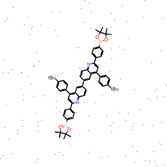 CC(C)(C)c1ccc(-c2cc(-c3ccc(B4OC(C)(C)C(C)(C)O4)cc3)nc3ccc(-c4ccc5nc(-c6ccc(B7OC(C)(C)C(C)(C)O7)cc6)cc(-c6ccc(C(C)(C)C)cc6)c5c4)cc23)cc1